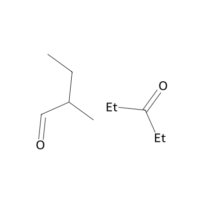 CCC(=O)CC.CCC(C)C=O